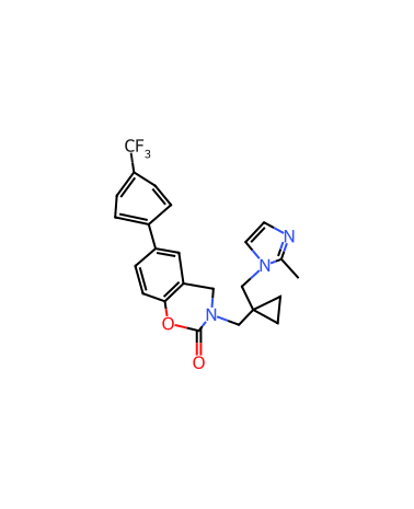 Cc1nccn1CC1(CN2Cc3cc(-c4ccc(C(F)(F)F)cc4)ccc3OC2=O)CC1